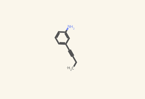 [CH2]CC#Cc1cccc(N)c1